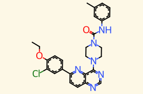 CCOc1ccc(-c2ccc3ncnc(N4CCN(C(=O)Nc5cccc(C)c5)CC4)c3n2)cc1Cl